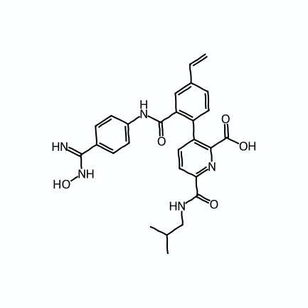 C=Cc1ccc(-c2ccc(C(=O)NCC(C)C)nc2C(=O)O)c(C(=O)Nc2ccc(C(=N)NO)cc2)c1